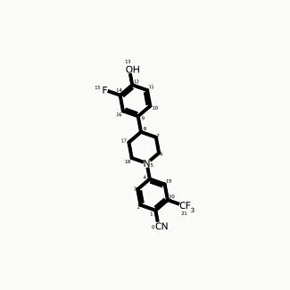 N#Cc1ccc(N2CCC(c3ccc(O)c(F)c3)CC2)cc1C(F)(F)F